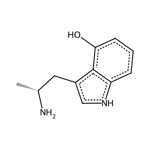 C[C@@H](N)Cc1c[nH]c2cccc(O)c12